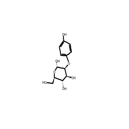 OC[C@H]1O[C@H](O)[C@@H](Oc2ccc(O)cc2)[C@@H](O)[C@@H]1O